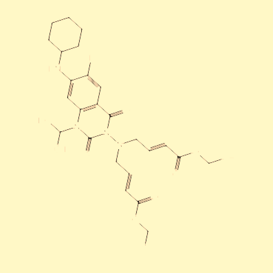 CCOC(=O)/C=C/CN(C/C=C/C(=O)OCC)n1c(=O)c2cc(F)c(NC3CCCCC3)cc2n(C(C)C)c1=O